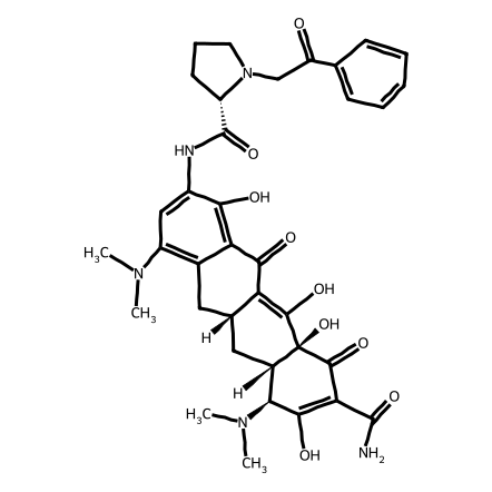 CN(C)c1cc(NC(=O)[C@@H]2CCCN2CC(=O)c2ccccc2)c(O)c2c1C[C@H]1C[C@H]3[C@H](N(C)C)C(O)=C(C(N)=O)C(=O)[C@@]3(O)C(O)=C1C2=O